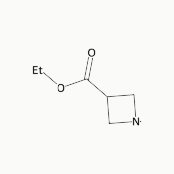 CCOC(=O)C1C[N]C1